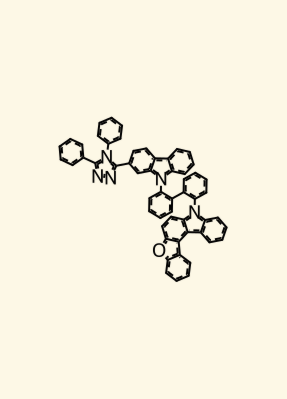 c1ccc(-c2nnc(-c3ccc4c5ccccc5n(-c5ccccc5-c5ccccc5-n5c6ccccc6c6c7c(ccc65)oc5ccccc57)c4c3)n2-c2ccccc2)cc1